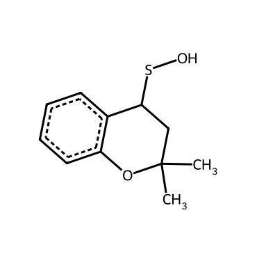 CC1(C)CC(SO)c2ccccc2O1